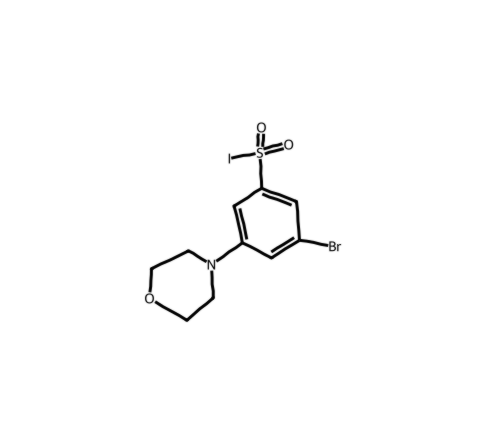 O=S(=O)(I)c1cc(Br)cc(N2CCOCC2)c1